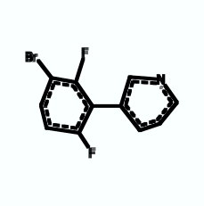 Fc1ccc(Br)c(F)c1-c1cccnc1